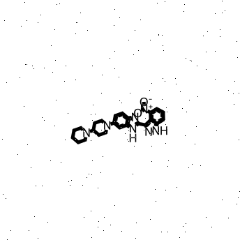 O=[N+]([O-])c1cccc2[nH]nc(-c3nc4ccc(N5CCC(N6CCCCC6)CC5)cc4[nH]3)c12